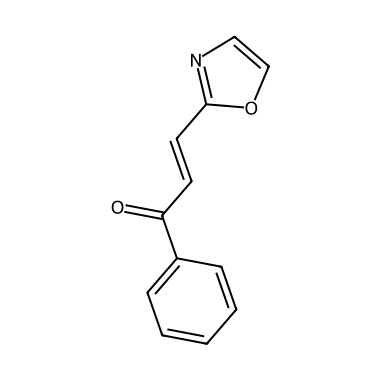 O=C(/C=C/c1ncco1)c1ccccc1